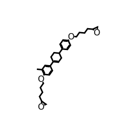 Cc1cc(C2=CCC(c3ccc(OCCCCC4CO4)cc3)CC2)ccc1OCCCCC1CO1